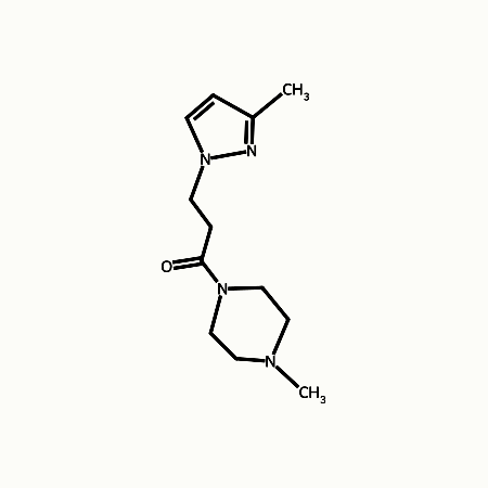 Cc1ccn(CCC(=O)N2CCN(C)CC2)n1